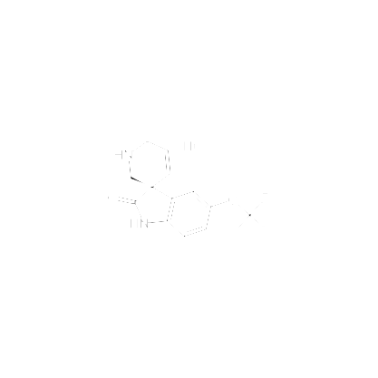 Cl.O=C1Nc2ccc(OC(F)(F)F)cc2[C@@]12C=CCNC2